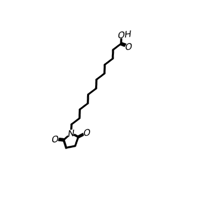 O=C(O)CCCCCCCCCCCN1C(=O)CCC1=O